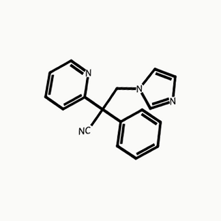 N#CC(Cn1ccnc1)(c1ccccc1)c1ccccn1